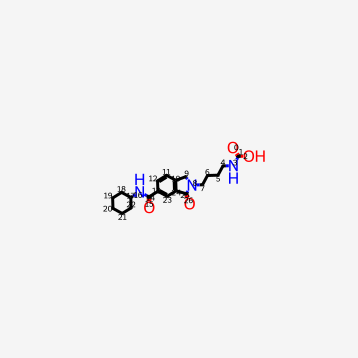 O=C(O)NCCCCN1Cc2ccc(C(=O)NC3CCCCC3)cc2C1=O